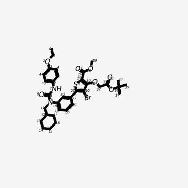 CCOc1ccc(NC(=O)N(CC2CCCCC2)c2cccc(-c3sc(C(=O)OC)c(OCC(=O)OC(C)(C)C)c3Br)c2)cc1